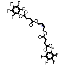 O=C(CCC(=O)Oc1c(F)c(F)c(F)c(F)c1F)OC/C=C\COC(=O)CCC(=O)Oc1c(F)c(F)c(F)c(F)c1F